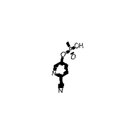 CP(=O)(O)Oc1ccc(C#N)nc1